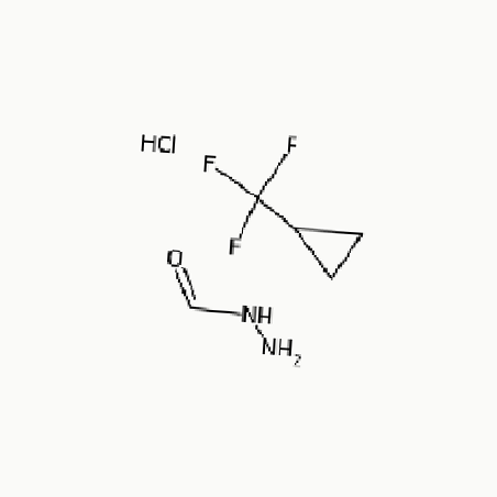 Cl.FC(F)(F)C1CC1.NNC=O